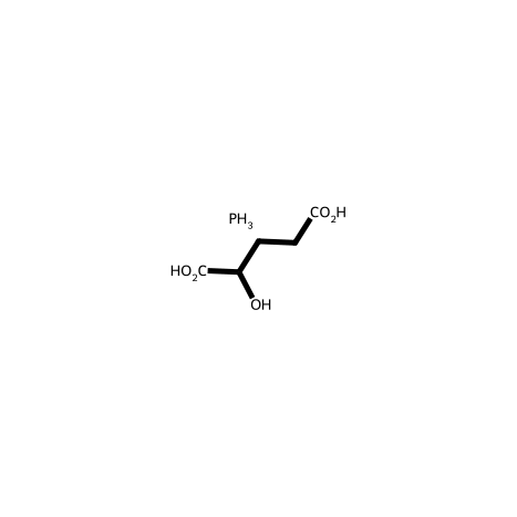 O=C(O)CCC(O)C(=O)O.P